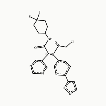 O=C(NC1CCC(F)(F)CC1)[C@H](c1cncnc1)N(C(=O)CCl)c1ccc(-c2ccno2)cc1